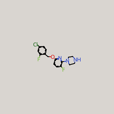 Fc1cc(Cl)ccc1COc1ccc(F)c(N2CCNCC2)n1